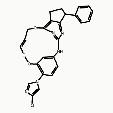 Clc1cn(-c2ccc3cc2OC/C=C/CCc2nc(nc4c2CCC4c2ccccc2)N3)cn1